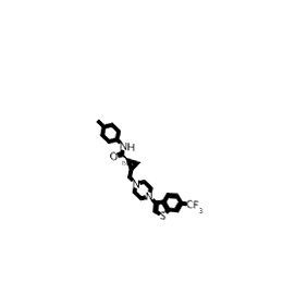 CC1CCC(NC(=O)[C@H]2CC2CN2CCN(c3csc4cc(C(F)(F)F)ccc34)CC2)CC1